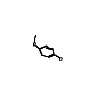 COC1[C]=CC(Cl)=CC1